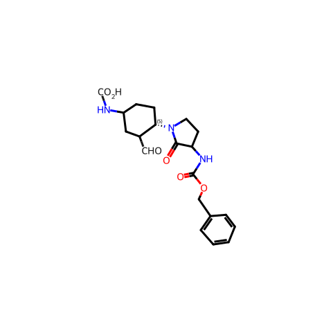 O=CC1CC(NC(=O)O)CC[C@@H]1N1CCC(NC(=O)OCc2ccccc2)C1=O